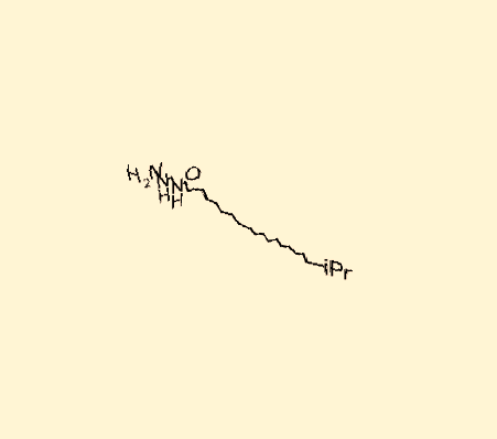 CC(C)CCCCCCCCCCCCCCCCCC(=O)NCNN